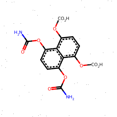 NC(=O)Oc1ccc(OC(N)=O)c2c(OC(=O)O)ccc(OC(=O)O)c12